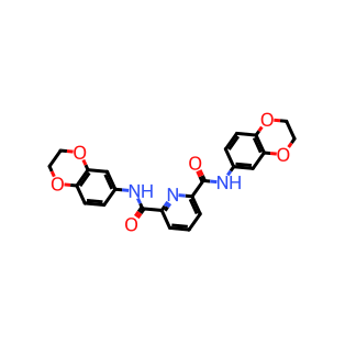 O=C(Nc1ccc2c(c1)OCCO2)c1cccc(C(=O)Nc2ccc3c(c2)OCCO3)n1